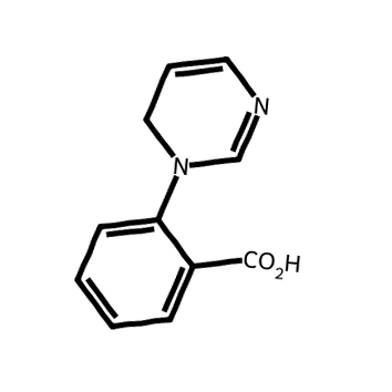 O=C(O)c1ccccc1N1C=NC=CC1